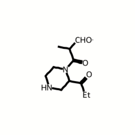 CCC(=O)C1CNCCN1C(=O)C(C)[C]=O